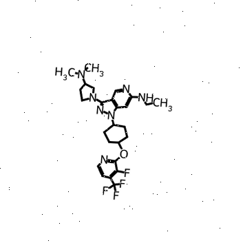 CCNc1cc2c(cn1)c(N1CCC(N(C)C)C1)nn2C1CCC(Oc2nccc(C(F)(F)F)c2F)CC1